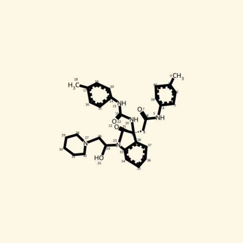 Cc1ccc(NC(=O)C[C@@]2(NC(=O)Nc3ccc(C)cc3)C(=O)N(C(O)CN3CCCCC3)c3ccccc32)cc1